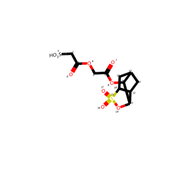 O=C(CS(=O)(=O)O)OCC(=O)OC1C2CC3C1OS(=O)(=O)C3C2